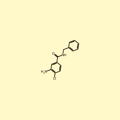 Nc1cc(C(=O)NCc2ccccc2)ccc1Cl